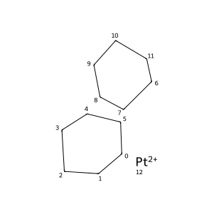 C1CCCCC1.C1CCCCC1.[Pt+2]